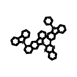 c1ccc(-n2c3ccccc3c3cc(-c4nc5ccccc5nc4-n4c5ccccc5c5cc6c(-n7c8ccccc8c8ccccc87)cccc6cc54)ccc32)cc1